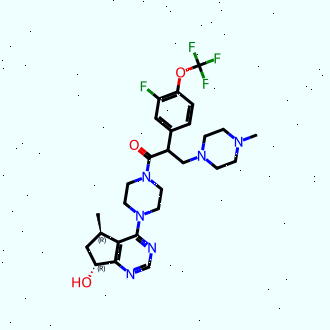 C[C@@H]1C[C@@H](O)c2ncnc(N3CCN(C(=O)C(CN4CCN(C)CC4)c4ccc(OC(F)(F)F)c(F)c4)CC3)c21